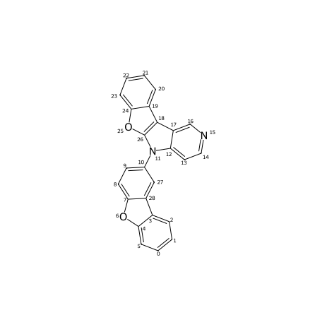 c1ccc2c(c1)oc1ccc(-n3c4ccncc4c4c5ccccc5oc43)cc12